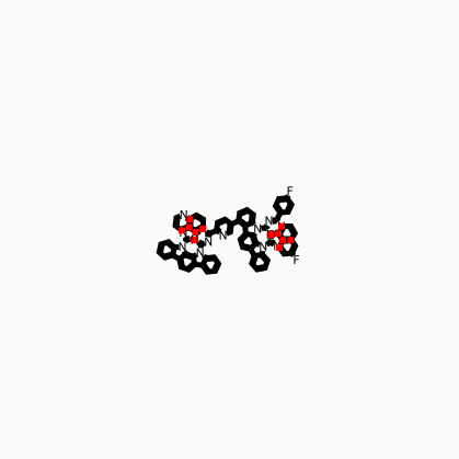 Fc1ccc(-c2nc(-c3ccc(F)cc3)nc(-n3c4cccc(-c5ccc(-c6nc(-c7cccnc7)nc(-n7c8ccccc8c8ccc9c%10ccccc%10n(-c%10nc%11ccccc%11o%10)c9c87)n6)nc5)c4c4ccc5c6ccccc6n(-c6nc7ccccc7o6)c5c43)n2)cc1